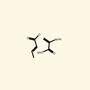 C=C(NC(C)=O)C(=O)OC.CC=CC([O])=O